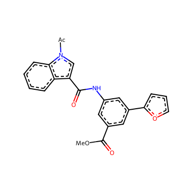 COC(=O)c1cc(NC(=O)c2cn(C(C)=O)c3ccccc23)cc(-c2ccco2)c1